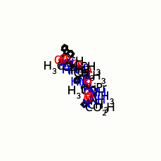 CC(C)C[C@H](NC(=O)[C@H](Cc1ccccc1)N(C)C(=O)CN(C)C(=O)[C@H](C)NC(=O)[C@H](CC(C)C)N(C)C(=O)[C@H](C)N(C)C(=O)OCC1c2ccccc2-c2ccccc21)C(=O)N(C)[C@@H](CC(C)C)C(=O)N[C@@H](C)C(=O)N[C@@H](C)C(=O)N1CCC[C@H]1C(=O)O